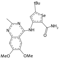 COc1cc2nc(C)nc(Nc3cc(C(C)(C)C)[se]c3C(N)=O)c2cc1OC